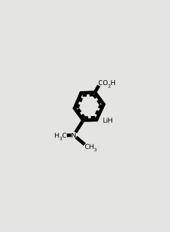 CN(C)c1ccc(C(=O)O)cc1.[LiH]